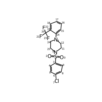 O=S(=O)(c1ccc(Cl)cc1)N1CCN(c2ccccc2C(F)(F)F)CC1